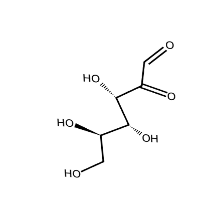 O=CC(=O)[C@@H](O)[C@H](O)[C@H](O)CO